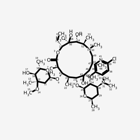 CC[C@H]1OC(=O)[C@H](C)[C@@H](O[C@H]2C[C@@](C)(OC)[C@@H](O)[C@H](C)O2)[C@H](C)[C@@H](O[C@@H]2O[C@H](C)C[C@H](N(C)C)[C@H]2Oc2ccc(Cl)nc2)[C@](C)(O)C[C@@H](C)CN(C)[C@H](C)[C@@H](O)[C@]1(C)O